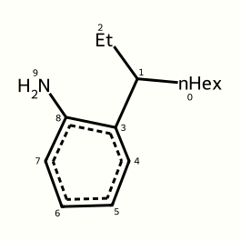 CCCCCCC(CC)c1ccccc1N